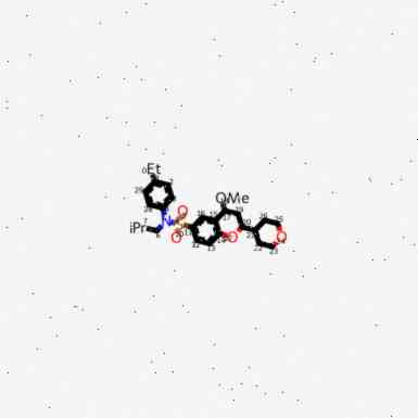 CCc1ccc(N(CC(C)C)S(=O)(=O)c2ccc3c(c2)C(OC)CC(C2CCOCC2)O3)cc1